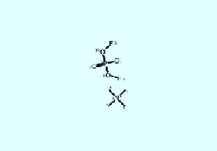 C[N+](C)(C)C.O=P([O-])(OF)OF